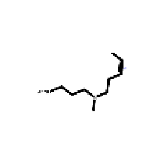 C/C=C\CCN(C)CCCNC(C)=O